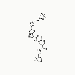 Cc1ncc(C(=O)NCCN2CCCC2(C)C)cc1NC(=O)c1cnn2cc(-c3cnn(CCC4COC(C)(C)O4)c3)sc12